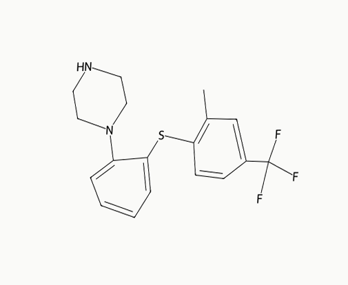 Cc1cc(C(F)(F)F)ccc1Sc1ccccc1N1CCNCC1